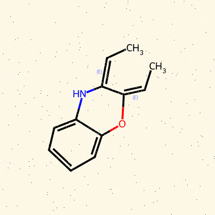 C/C=C1/Nc2ccccc2O/C1=C/C